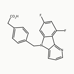 O=C(O)Cc1ccc(Cn2c3cccnc3c3c(F)cc(F)cc32)cc1